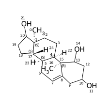 C[C@]12CC[C@@H]3[C@@H](CC=C4CC(O)CC(O)[C@@]43C)[C@@H]1CCC2O